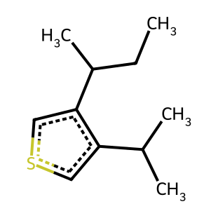 CCC(C)c1cscc1C(C)C